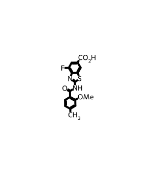 COc1cc(C)ccc1C(=O)Nc1nc2c(F)cc(C(=O)O)cc2s1